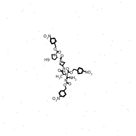 C[C@H](C(=O)NC1CN(C(=O)[C@@H]2C[C@H](S)CN2C(=O)OCc2ccc([N+](=O)[O-])cc2)C1)N(C(=O)OCc1ccc([N+](=O)[O-])cc1)C(N)=NC(=O)OCc1ccc([N+](=O)[O-])cc1